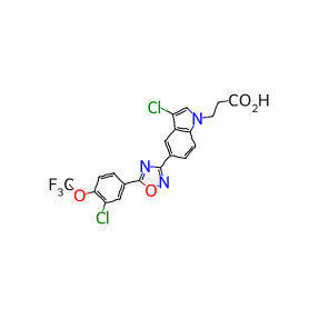 O=C(O)CCn1cc(Cl)c2cc(-c3noc(-c4ccc(OC(F)(F)F)c(Cl)c4)n3)ccc21